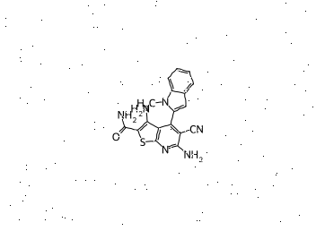 Cn1c(-c2c(C#N)c(N)nc3sc(C(N)=O)c(N)c23)cc2ccccc21